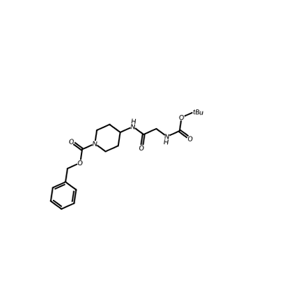 CC(C)(C)OC(=O)NCC(=O)NC1CCN(C(=O)OCc2ccccc2)CC1